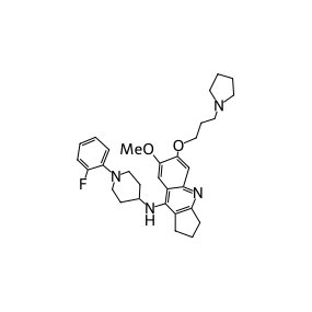 COc1cc2c(NC3CCN(c4ccccc4F)CC3)c3c(nc2cc1OCCCN1CCCC1)CCC3